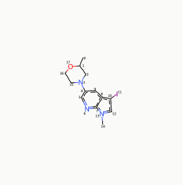 CC1CN(c2cnc3c(c2)c(I)cn3C)CCO1